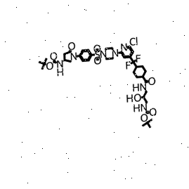 CC(C)(C)OC(=O)NCC(O)CNC(=O)C1CCC(C(F)(F)c2cc(Cl)nc(N3CCN(S(=O)(=O)c4ccc(N5C[C@H](NC(=O)OC(C)(C)C)CC5=O)cc4)CC3)c2)CC1